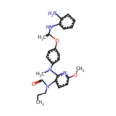 C=C(Nc1ccccc1N)Oc1ccc(N(C)c2nc(OC)ccc2N(C=O)CCC)cc1